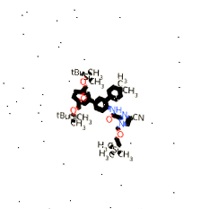 CC1(C)CC=C(c2cc(C3=CC4(CO[Si](C)(C)C(C)(C)C)CCC(CO[Si](C)(C)C(C)(C)C)(C3)O4)ccc2NC(=O)c2nc(C#N)cn2COCC[Si](C)(C)C)CC1